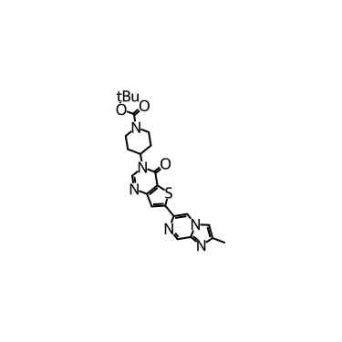 Cc1cn2cc(-c3cc4ncn(C5CCN(C(=O)OC(C)(C)C)CC5)c(=O)c4s3)ncc2n1